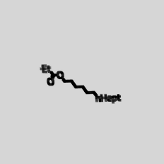 C[CH]C(=O)OCCCCCCCCCCCCC